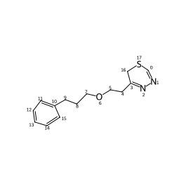 C1=NN=C(CCOCCCc2ccccc2)CS1